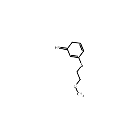 COCCSC1=CC(=N)CC=C1